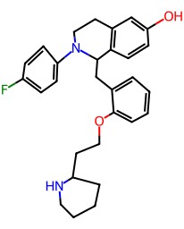 Oc1ccc2c(c1)CCN(c1ccc(F)cc1)C2Cc1ccccc1OCCC1CCCCN1